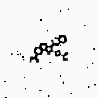 COC(=O)N1CCc2ccc3c(nc([C@H]4C[C@@H](C(=O)O)C4)n3[C@H](C)Cc3ccccc3C)c2C1